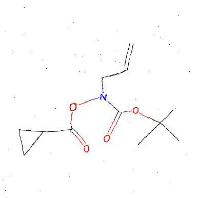 C=CCN(OC(=O)C1CC1)C(=O)OC(C)(C)C